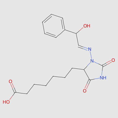 O=C(O)CCCCCCC1C(=O)NC(=O)N1N=CC(O)c1ccccc1